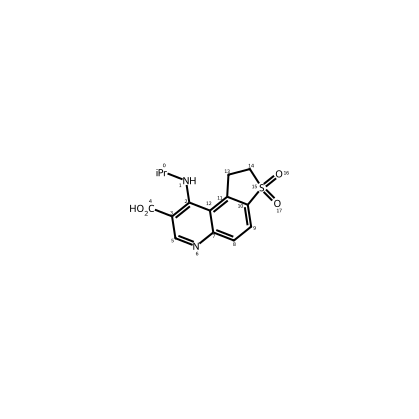 CC(C)Nc1c(C(=O)O)cnc2ccc3c(c12)CCS3(=O)=O